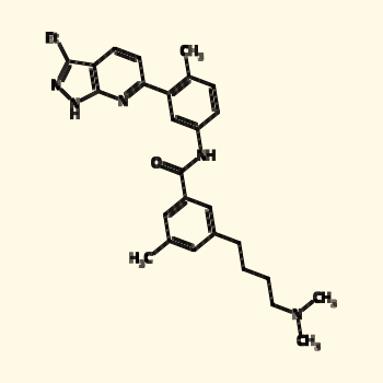 CCc1n[nH]c2nc(-c3cc(NC(=O)c4cc(C)cc(CCCCN(C)C)c4)ccc3C)ccc12